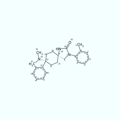 Cc1ccccc1N1C[C@]2(CC[C@@](c3ccccc3)(N(C)C)CC2)NC1=O